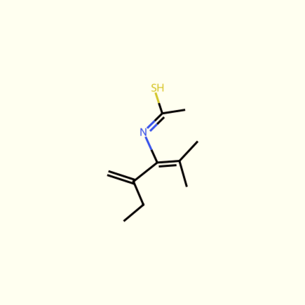 C=C(CC)C(/N=C(\C)S)=C(C)C